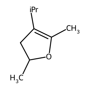 CC1=C(C(C)C)CC(C)O1